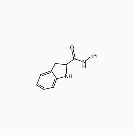 CCCNC(=O)C1Cc2ccccc2N1